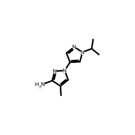 Cc1cn(-c2cnn(C(C)C)c2)nc1N